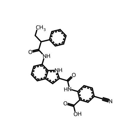 CCC(C(=O)Nc1cccc2cc(C(=O)Nc3ccc(C#N)cc3C(=O)O)[nH]c12)c1ccccc1